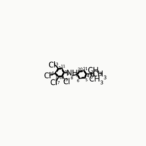 CC(C)(C)c1ccc(CNc2cc(Cl)c(Cl)c(Cl)c2Cl)cc1